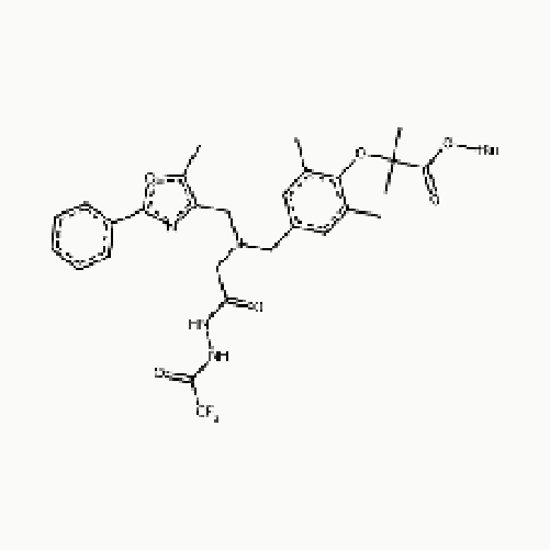 Cc1cc(CN(CC(=O)NNC(=O)C(F)(F)F)Cc2nc(-c3ccccc3)oc2C)cc(C)c1OC(C)(C)C(=O)OC(C)(C)C